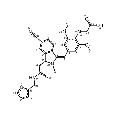 COc1cc(/C=C2\c3ccc(C#N)cc3[C@H](CC(=O)NCc3ccco3)N2C)cc(OC)c1NCC(=O)O